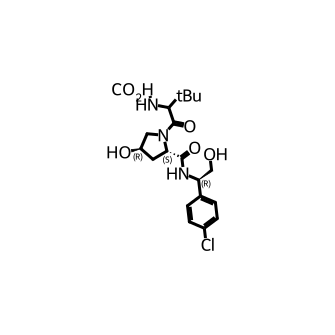 CC(C)(C)C(NC(=O)O)C(=O)N1C[C@H](O)C[C@H]1C(=O)N[C@@H](CO)c1ccc(Cl)cc1